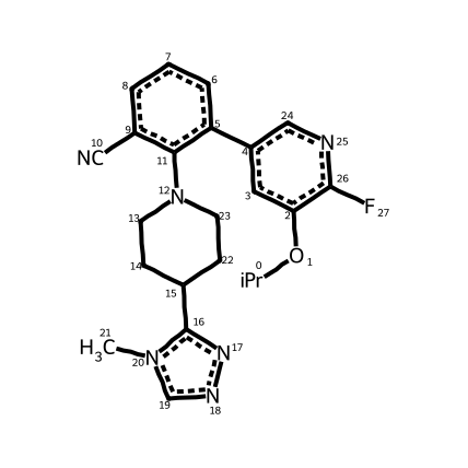 CC(C)Oc1cc(-c2cccc(C#N)c2N2CCC(c3nncn3C)CC2)cnc1F